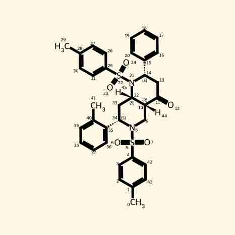 Cc1ccc(S(=O)(=O)N2C[C@H]3C(=O)C[C@@H](c4ccccc4)N(S(=O)(=O)c4ccc(C)cc4)[C@H]3C[C@H]2c2ccccc2C)cc1